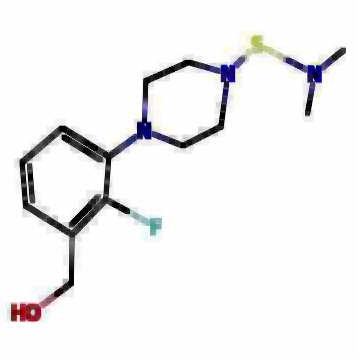 CN(C)SN1CCN(c2cccc(CO)c2F)CC1